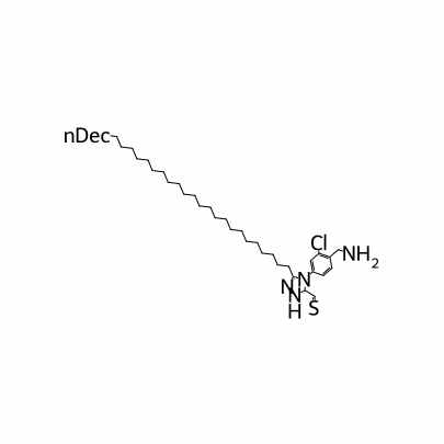 CCCCCCCCCCCCCCCCCCCCCCCCCCCCCCCCCC1=NNC(C=S)N1c1ccc(CN)c(Cl)c1